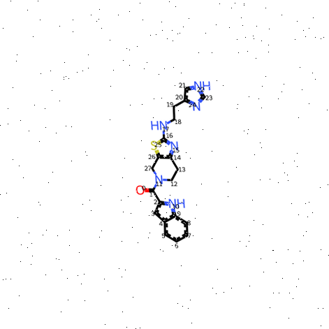 O=C(c1cc2ccccc2[nH]1)N1CCc2nc(NCCc3c[nH]cn3)sc2C1